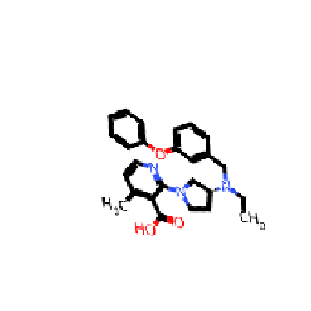 CCN(Cc1cccc(Oc2ccccc2)c1)[C@@H]1CCN(c2nccc(C)c2C(=O)O)C1